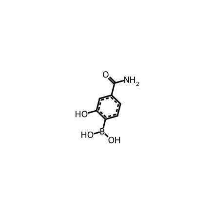 NC(=O)c1ccc(B(O)O)c(O)c1